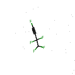 FC#CC(F)(F)[C](F)F